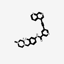 CN1CCN(Cc2ccc(NC(=O)c3cncc(C#Cc4cncc5ncccc45)c3)cc2C(F)(F)F)CC1